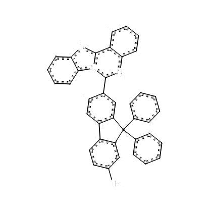 CC(C)(C)c1ccc2c(c1)C(c1ccccc1)(c1ccccc1)c1cc(-c3nc4ccccc4c4nc5ccccc5n34)ccc1-2